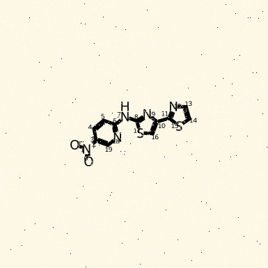 O=[N+]([O-])c1ccc(Nc2nc(-c3nccs3)cs2)nc1